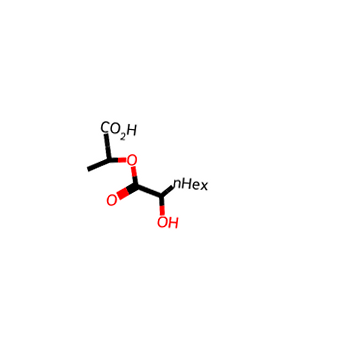 CCCCCCC(O)C(=O)OC(C)C(=O)O